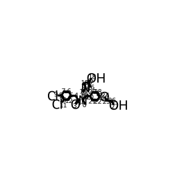 CN(C(=O)Cc1ccc(Cl)c(Cl)c1)[C@H](CN1CC(O)C1)C1C=CC(OCCO)=CC1